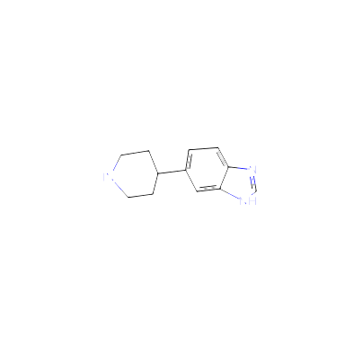 c1nc2ccc(C3CCNCC3)cc2[nH]1